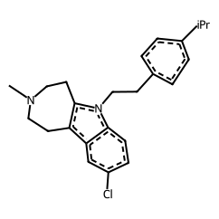 CC(C)c1ccc(CCn2c3c(c4cc(Cl)ccc42)CCN(C)CC3)cc1